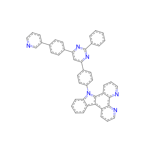 c1ccc(-c2nc(-c3ccc(-c4cccnc4)cc3)cc(-c3ccc(-n4c5ccccc5c5c6cccnc6c6ncccc6c54)cc3)n2)cc1